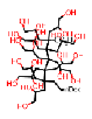 CCCCCCCCCCCCC(CC(O)CO)(CC(O)CO)C(CC(O)CO)(CC(O)CO)C(CC(O)CO)(CC(O)CO)C(CC(O)CO)(CC(O)CO)C(CC(O)CO)(CC(O)CO)C(=O)O